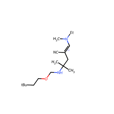 CCN(C)/C=C(\C#N)CC(C)(C)NCOCCC(C)(C)C